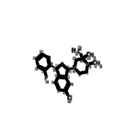 CN1CCN([C@@H]2C[C@@H](c3ccccc3F)c3ccc(Cl)cc32)CC1(C)C